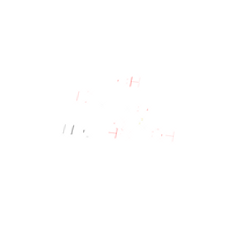 Cc1occ(O)c1O.O=S(O)O